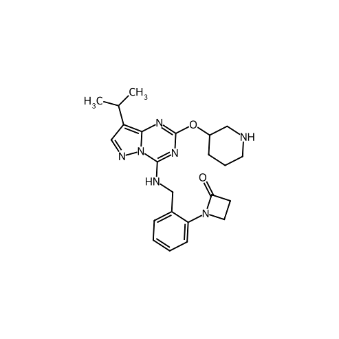 CC(C)c1cnn2c(NCc3ccccc3N3CCC3=O)nc(OC3CCCNC3)nc12